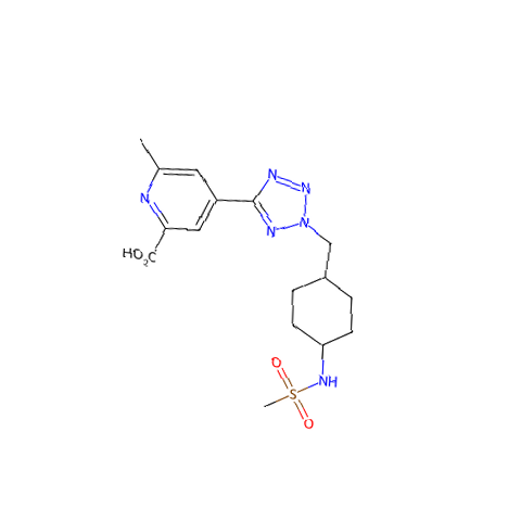 Cc1cc(-c2nnn(CC3CCC(NS(C)(=O)=O)CC3)n2)cc(C(=O)O)n1